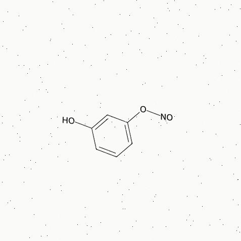 O=NOc1cccc(O)c1